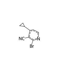 N#Cc1c(C2CC2)ccnc1Br